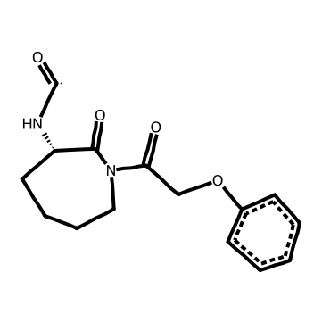 O=[C]N[C@H]1CCCCN(C(=O)COc2ccccc2)C1=O